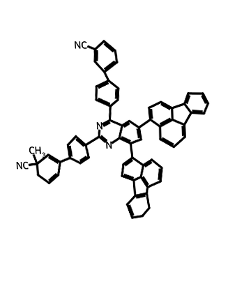 CC1(C#N)C=C(c2ccc(-c3nc(-c4ccc(-c5cccc(C#N)c5)cc4)c4cc(-c5ccc6c7c(cccc57)-c5ccccc5-6)cc(-c5ccc6c7c(cccc57)C5=C6C=CCC5)c4n3)cc2)C=CC1